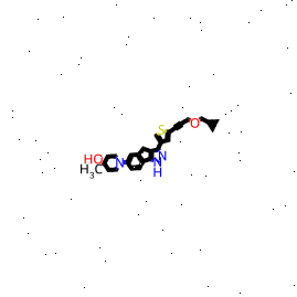 CC1(O)CCN(c2ccc3c(c2)Cc2c(-c4csc(C#CCOCC5CC5)c4)n[nH]c2-3)CC1